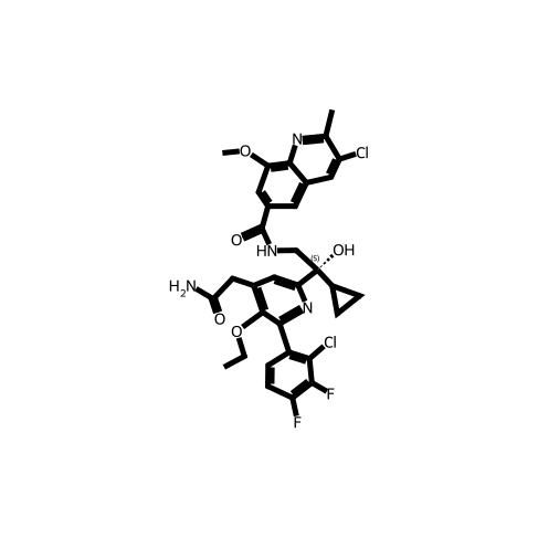 CCOc1c(CC(N)=O)cc([C@@](O)(CNC(=O)c2cc(OC)c3nc(C)c(Cl)cc3c2)C2CC2)nc1-c1ccc(F)c(F)c1Cl